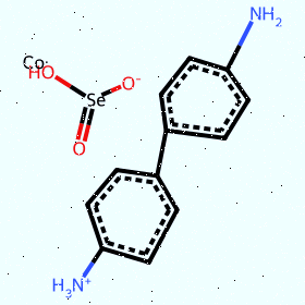 Nc1ccc(-c2ccc([NH3+])cc2)cc1.O=[Se]([O-])O.[Co]